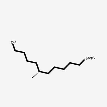 CCCCCCCCCCCC[C@H](C)CCCCO